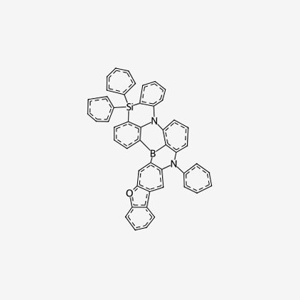 c1ccc(N2c3cc4c(cc3B3c5cccc6c5N(c5ccccc5[Si]6(c5ccccc5)c5ccccc5)c5cccc2c53)oc2ccccc24)cc1